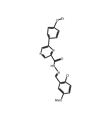 CCOc1ccc(-c2cncc(C(=O)N/N=C/c3cc(OC)ccc3Cl)n2)cc1